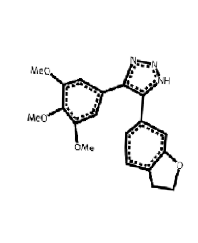 COc1cc(-c2nn[nH]c2-c2ccc3c(c2)OCC3)cc(OC)c1OC